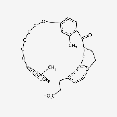 Cc1cc2ccc1C(=O)N1CCc3ccc(cc3C1)C(CC(=O)O)c1cnc(nc1C)OCCCCO2